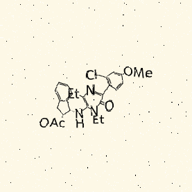 CCc1nc(-c2ccc(OC)cc2Cl)c(=O)n(CC)c1N[C@H]1c2ccccc2C[C@@H]1OC(C)=O